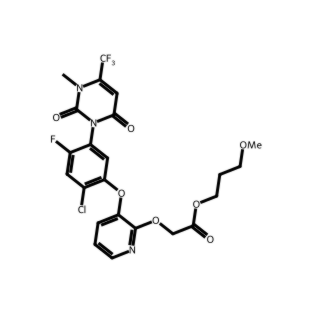 COCCCOC(=O)COc1ncccc1Oc1cc(-n2c(=O)cc(C(F)(F)F)n(C)c2=O)c(F)cc1Cl